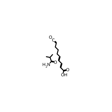 CC(C)C(N)=O.O=C=CCCCC=CC=CC(=O)O